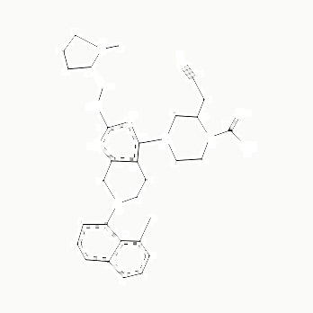 Cc1cccc2cccc(N3CCc4c(nc(OC[C@@H]5CCCN5C)nc4N4CCN(C(=O)O)C(CC#N)C4)C3)c12